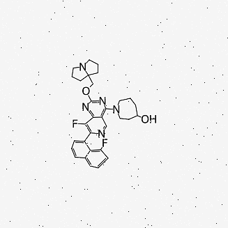 OC1CCCN(c2nc(OCC34CCCN3CCC4)nc3c(F)c(-c4cccc5cccc(F)c45)ncc23)CC1